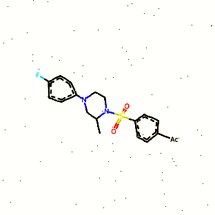 CC(=O)c1ccc(S(=O)(=O)N2CCN(c3ccc(F)cc3)CC2C)cc1